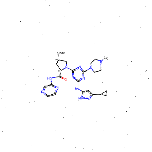 CO[C@H]1C[C@@H](C(=O)Nc2cnccn2)N(c2nc(Nc3cc(C4CC4)n[nH]3)nc(N3CCN(C(C)=O)CC3)n2)C1